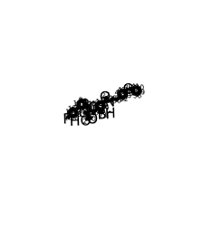 O=C(O)C(=O)N(Cc1cccc(-c2ccc(F)cc2)c1)Cc1c(Br)cc(C(=O)NCCc2ccc(Oc3ccccc3)cc2)cc1Br